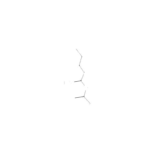 CCCC[CH]([SnH3])OC(C)C